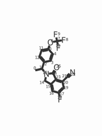 CC(c1ccc(OC(F)(F)F)cc1)N1Cc2cc(F)cc(C#N)c2C1=O